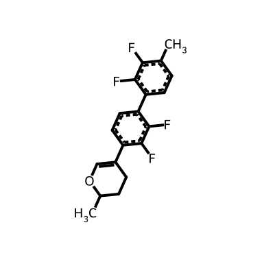 Cc1ccc(-c2ccc(C3=COC(C)CC3)c(F)c2F)c(F)c1F